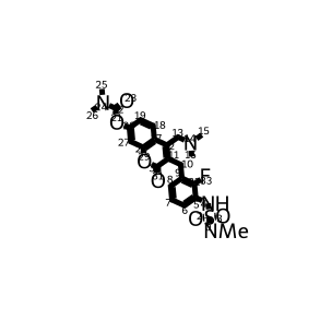 CNS(=O)(=O)Nc1cccc(Cc2c(CN(C)C)c3ccc(OC(=O)N(C)C)cc3oc2=O)c1F